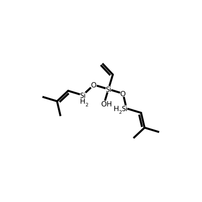 C=C[Si](O)(O[SiH2]C=C(C)C)O[SiH2]C=C(C)C